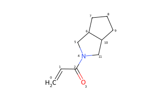 C=CC(=O)N1CC2CCCC2C1